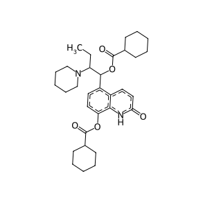 CCC(C(OC(=O)C1CCCCC1)c1ccc(OC(=O)C2CCCCC2)c2[nH]c(=O)ccc12)N1CCCCC1